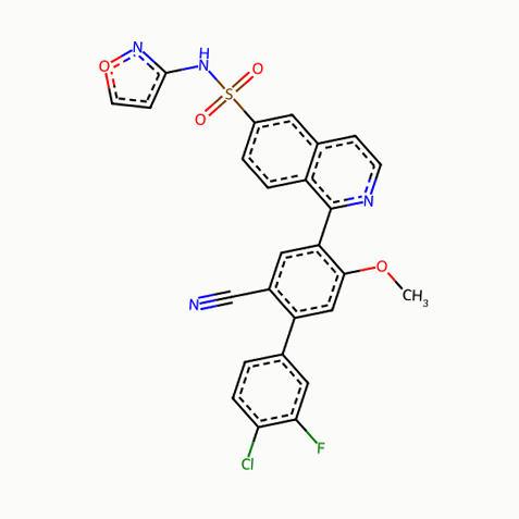 COc1cc(-c2ccc(Cl)c(F)c2)c(C#N)cc1-c1nccc2cc(S(=O)(=O)Nc3ccon3)ccc12